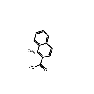 O=C(O)c1ccc2ccccc2c1.[CaH2]